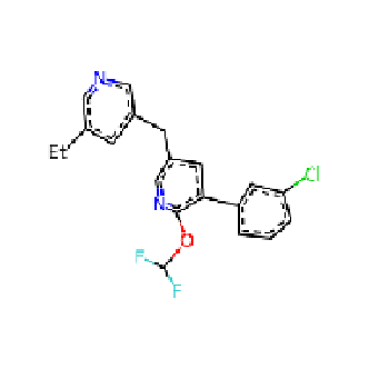 CCc1cncc(Cc2cnc(OC(F)F)c(-c3cccc(Cl)c3)c2)c1